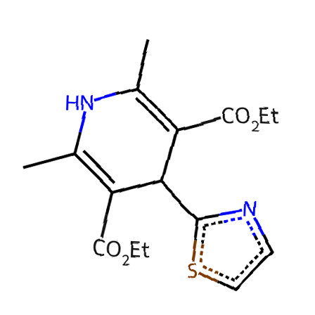 CCOC(=O)C1=C(C)NC(C)=C(C(=O)OCC)C1c1nccs1